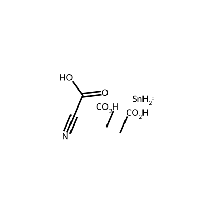 CC(=O)O.CC(=O)O.N#CC(=O)O.[SnH2]